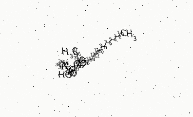 CCCCCCCCCCCCCCCCCOCC(COP(=O)(O)CCN1CCCC1)OC(=O)CCC